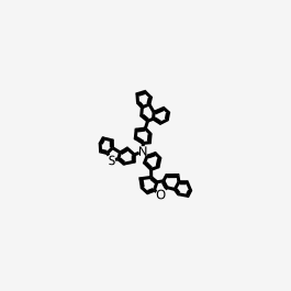 c1cc(-c2cccc3oc4c5ccccc5ccc4c23)cc(N(c2ccc(-c3cc4ccccc4c4ccccc34)cc2)c2ccc3sc4ccccc4c3c2)c1